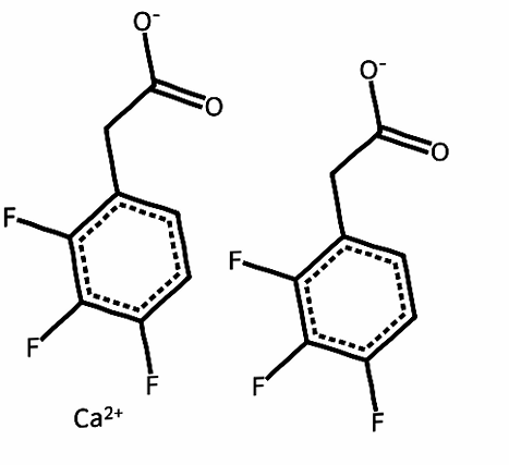 O=C([O-])Cc1ccc(F)c(F)c1F.O=C([O-])Cc1ccc(F)c(F)c1F.[Ca+2]